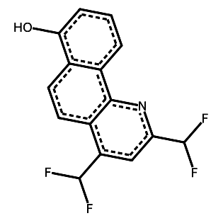 Oc1cccc2c1ccc1c(C(F)F)cc(C(F)F)nc12